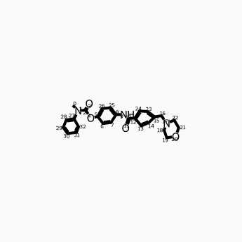 CN(C(=O)Oc1ccc(NC(=O)c2ccc(CN3CCOCC3)cc2)cc1)c1ccccc1